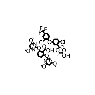 COc1cc(OC)nc(Oc2cccc(Oc3nc(OC)cc(OC)n3)c2C(=O)O)n1.C[C@H](OC(=O)c1cc(Oc2ccc(C(F)(F)F)cc2Cl)ccc1Cl)C(=O)O